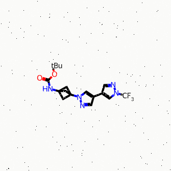 CC(C)(C)OC(=O)NC12CC(n3cc(-c4cnn(C(F)(F)F)c4)cn3)(C1)C2